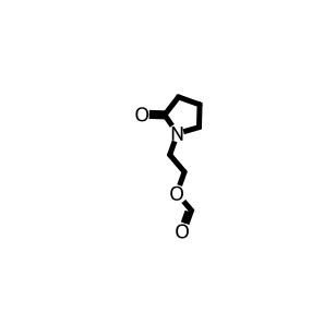 O=COCCN1CCCC1=O